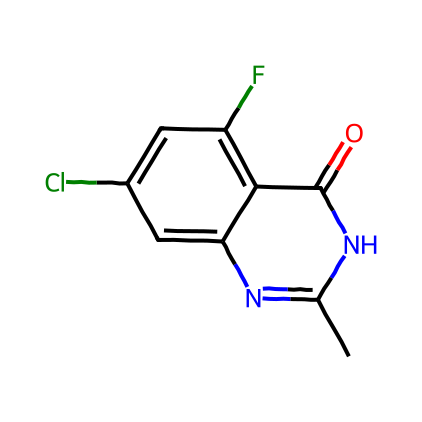 Cc1nc2cc(Cl)cc(F)c2c(=O)[nH]1